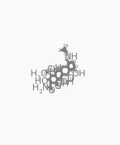 CN(C)[C@@H]1C(O)=C(C(N)=O)C(=O)[C@@]2(O)C(O)=C3C(=O)c4c(O)ccc(CNC5CC5)c4C[C@H]3C[C@@H]12